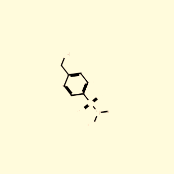 CCCN(CCC)S(=O)(=O)c1ccc(CO)cc1